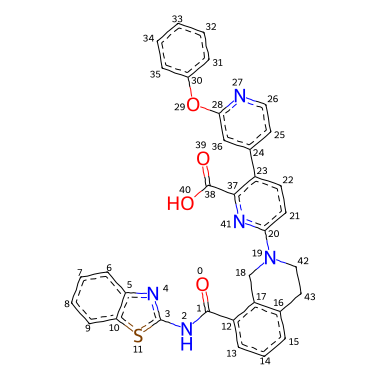 O=C(Nc1nc2ccccc2s1)c1cccc2c1CN(c1ccc(-c3ccnc(Oc4ccccc4)c3)c(C(=O)O)n1)CC2